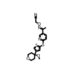 COC1(c2csc(Sc3ccc(C(C)=NOCC#N)cn3)c2)CCOCC1